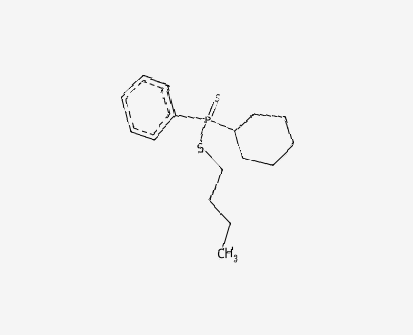 CCCCSP(=S)(c1ccccc1)C1CCCCC1